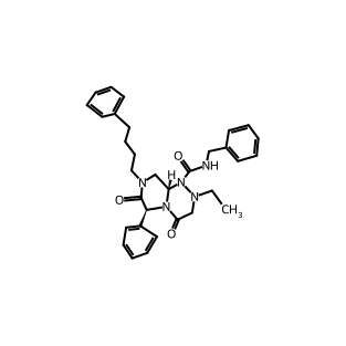 CCN1CC(=O)N2[C@@H](c3ccccc3)C(=O)N(CCCCc3ccccc3)C[C@@H]2N1C(=O)NCc1ccccc1